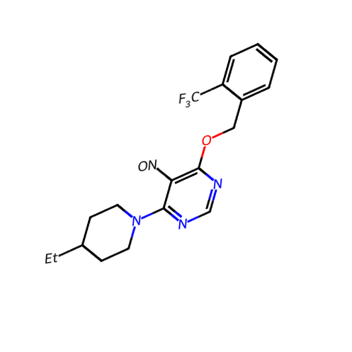 [CH2]CC1CCN(c2ncnc(OCc3ccccc3C(F)(F)F)c2N=O)CC1